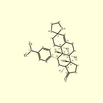 CCN(CC)c1ccc([C@H]2C[C@]3(C)C(=O)CC[C@H]3[C@@H]3CCC4=CC5(CC[C@@H]4[C@H]32)SCCS5)cc1